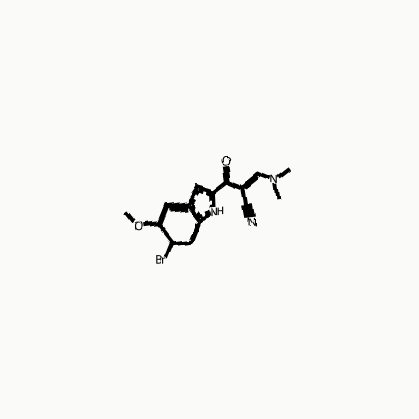 COC1C=c2cc(C(=O)/C(C#N)=C/N(C)C)[nH]c2=CC1Br